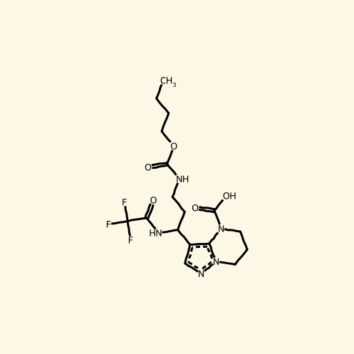 CCCCOC(=O)NCCC(NC(=O)C(F)(F)F)c1cnn2c1N(C(=O)O)CCC2